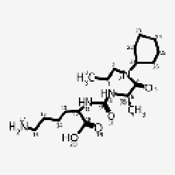 CCCN(C(=O)[C@@H](C)NC(=O)NC(CCCCN)C(=O)O)C1CCCCC1